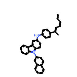 C=C/C=C\C=C(/C)c1ccc(Nc2ccc3c(c2)c2ccccc2n3-c2ccc3ccccc3c2)cc1